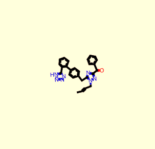 CC#CCn1nc(C(=O)c2ccccc2)nc1Cc1ccc(-c2ccccc2-c2nnn[nH]2)cc1